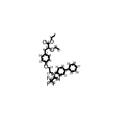 CCOC(=O)C(Cc1ccc(OCCn2c(C(F)(F)F)nc3cc(-c4ccccc4)ccc32)cc1)OCC